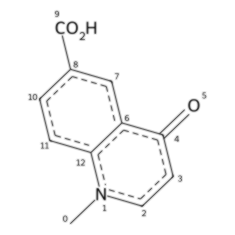 Cn1ccc(=O)c2cc(C(=O)O)ccc21